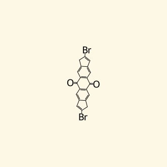 O=C1c2cc3c(cc2C(=O)c2cc4c(cc21)CC(Br)=C4)CC(Br)=C3